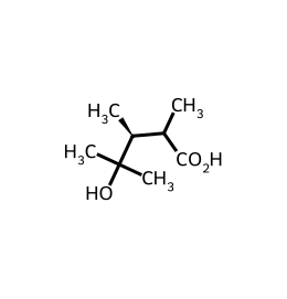 CC(C(=O)O)[C@H](C)C(C)(C)O